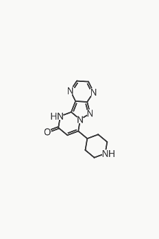 O=c1cc(C2CCNCC2)n2nc3nccnc3c2[nH]1